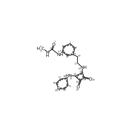 CNC(=O)Nc1cccc(CCNc2c(Nc3ccncc3)c(=O)c2=O)c1